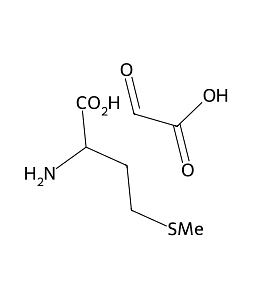 CSCCC(N)C(=O)O.O=CC(=O)O